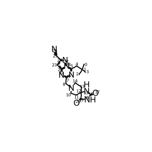 CC(C)(C)Cc1nc(CN2CCC3(CC2)NC(=O)NC3=O)nc2cc(C#N)nn12